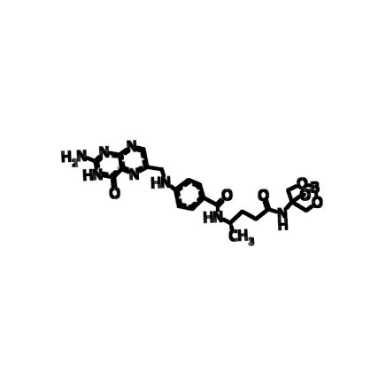 C[C@H](CCC(=O)NC12COB(OC1)OC2)NC(=O)c1ccc(NCc2cnc3nc(N)[nH]c(=O)c3n2)cc1